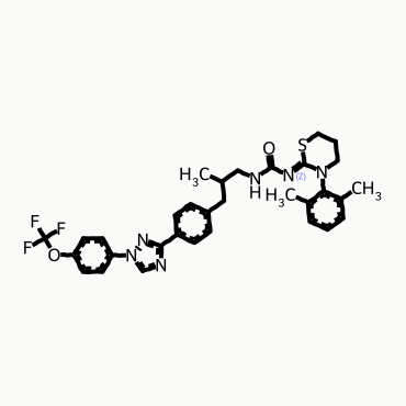 Cc1cccc(C)c1N1CCCS/C1=N\C(=O)NCC(C)Cc1ccc(-c2ncn(-c3ccc(OC(F)(F)F)cc3)n2)cc1